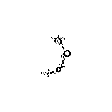 CC(=O)NCCOc1ccc(C(=O)NCCCn2nnc3c2CCCCCC3OCCNC(=O)CC(C)(C)NC(C)=O)cc1